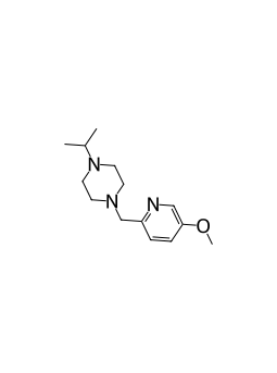 COc1ccc(CN2CCN(C(C)C)CC2)nc1